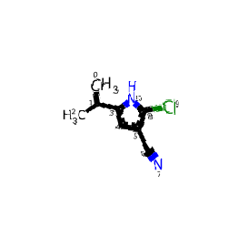 CC(C)c1cc(C#N)c(Cl)[nH]1